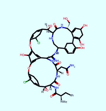 CN[C@H](CC(C)C)C(=O)N[C@H]1C(=O)N[C@@H](CC(N)=O)C(=O)N[C@H]2C(=N)N[C@H]3CN[C@H](C(=O)N[C@H](CO)C4=CC(O)CC(O)=C4C4CC3=CC=C4O)[C@H](O)C3=CC=C(Oc4cc2cc(c4O)OC2=C(Cl)C=C(CC2)[C@H]1O)C(Cl)C3